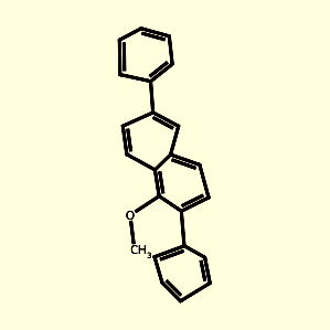 COc1c(-c2ccccc2)ccc2cc(-c3ccccc3)ccc12